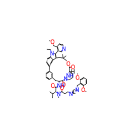 CCn1c(-c2cnccc2COC)c2c3cc(ccc31)-c1cccc(c1)C[C@H](NC(=O)[C@H](C(C)C)N(C)C(=O)CCN=C=NCc1c(OC)cccc1OC)C(=O)N1CCC[C@H](N1)C(=O)OCC(C)(C)C2